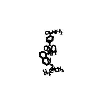 CN(C)Cc1ccc2cccc(NS(=O)(=O)c3ccc(C(N)=O)cc3)c2n1